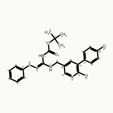 CC(C)(C)OC(=O)N/C(=N\Sc1ccccc1)NCc1cnc(Cl)c(-c2ccc(Cl)cc2)c1